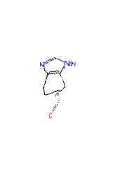 O=C[C@@H]1CCc2nc[nH]c2C1